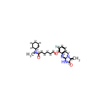 C=c1c(=O)[nH]c2n1Cc1ccc(F)c(OCCCCCC(=O)N(C)C3CCCCC3)c1N=2